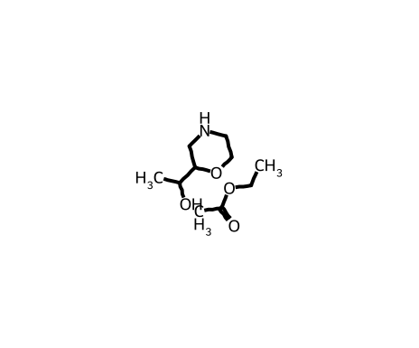 CC(O)C1CNCCO1.CCOC(C)=O